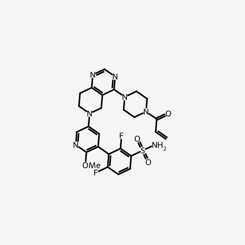 C=CC(=O)N1CCN(c2ncnc3c2CN(c2cnc(OC)c(-c4c(F)ccc(S(N)(=O)=O)c4F)c2)CC3)CC1